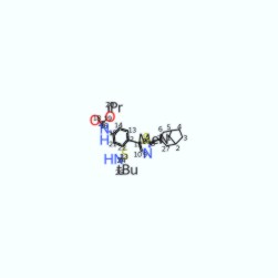 CNC1C2CCC1CC(c1ncc(-c3ccc(NC(=O)OC(C)C)cc3SNC(C)(C)C)s1)C2